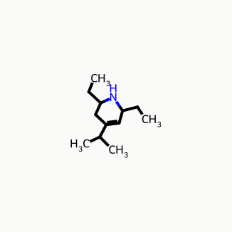 CCC1C=C(C(C)C)CC(CC)N1